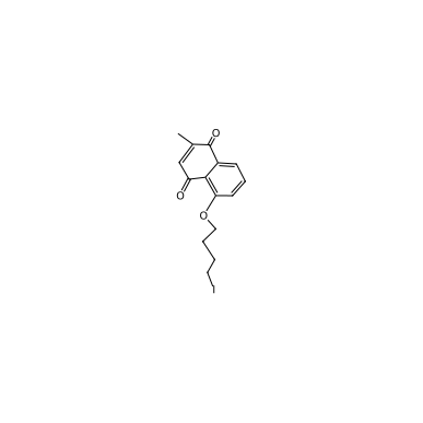 CC1=CC(=O)c2c(OCCCCI)cccc2C1=O